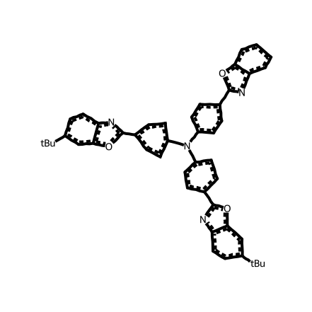 CC(C)(C)c1ccc2nc(-c3ccc(N(c4ccc(-c5nc6ccccc6o5)cc4)c4ccc(-c5nc6ccc(C(C)(C)C)cc6o5)cc4)cc3)oc2c1